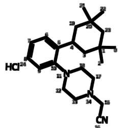 CC1(C)CC(c2ccccc2N2CCN(CC#N)CC2)CC(C)(C)C1.Cl